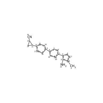 Cn1ncc(-c2ccc(-c3ccc(C4CC4C#N)nc3)cn2)c1N